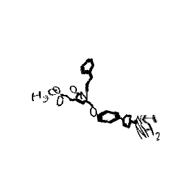 COC(=O)CCC1=CC(COc2ccc(-c3ccc(C(=N)N)cc3)cc2)N(CCCc2ccccc2)C1=O